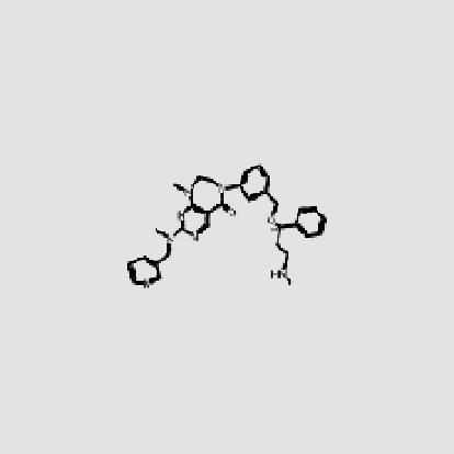 CNCC[C@@H](OCc1cccc(N2CCN(C)c3nc(N(C)Cc4cccnc4)ncc3C2=O)c1)c1ccccc1